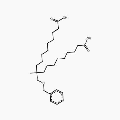 CC(CCCCCCCCC(=O)O)(CCCCCCCCC(=O)O)COCc1ccccc1